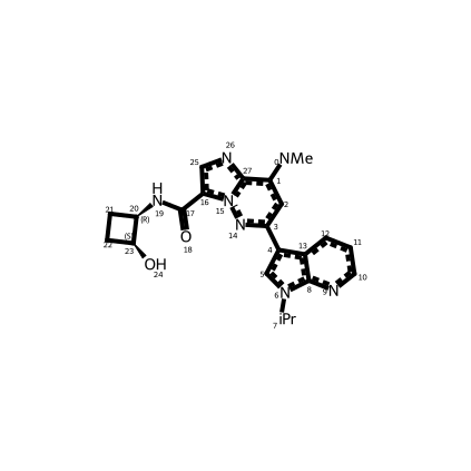 CNc1cc(-c2cn(C(C)C)c3ncccc23)nn2c(C(=O)N[C@@H]3CC[C@@H]3O)cnc12